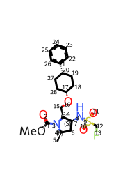 COC(=O)N1[C@H](C)C[C@H](NS(=O)(=O)CF)[C@@H]1CO[C@H]1CC[C@@H](c2ccccc2)CC1